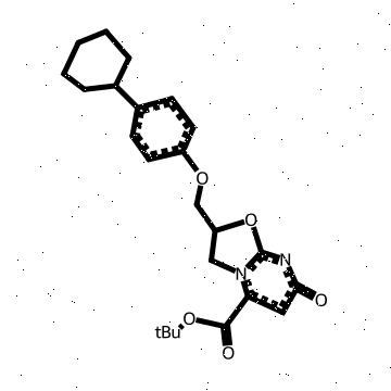 CC(C)(C)OC(=O)c1cc(=O)nc2n1CC(COc1ccc(C3CCCCC3)cc1)O2